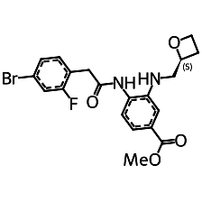 COC(=O)c1ccc(NC(=O)Cc2ccc(Br)cc2F)c(NC[C@@H]2CCO2)c1